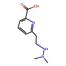 CN(C)NCCc1cccc(C(=O)O)n1